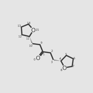 O=C(CC[C@@H]1CCCO1)CC[C@@H]1CCCO1